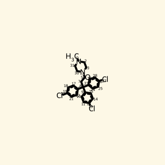 CN1CCN(C(=O)CC(c2ccc(Cl)cc2)(c2ccc(Cl)cc2)c2ccc(Cl)cc2)CC1